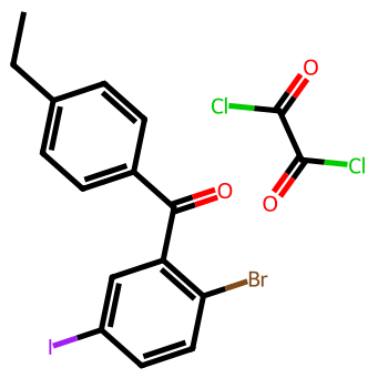 CCc1ccc(C(=O)c2cc(I)ccc2Br)cc1.O=C(Cl)C(=O)Cl